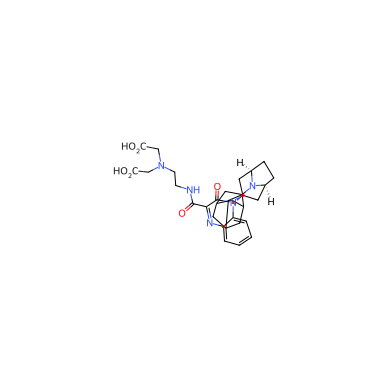 O=C(O)CN(CCNC(=O)c1nc2ccccc2n([C@H]2C[C@H]3CC[C@@H](C2)N3C23CC4CC(CC2C4)C3)c1=O)CC(=O)O